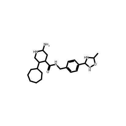 CC1NC(c2ccc(CNC(=O)C3CC(N)NCC3C3CCCCCC3)cc2)NO1